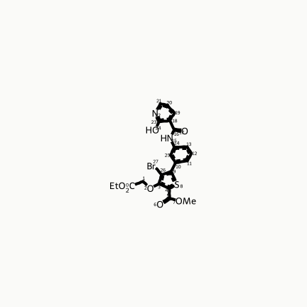 CCOC(=O)COc1c(C(=O)OC)sc(-c2cccc(NC(=O)c3cccnc3O)c2)c1Br